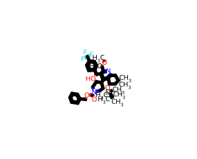 COC(C)c1nc2c(c(C3CCN(C(=O)OCc4ccccc4)CC3)c1C(O)c1ccc(C(F)(F)F)cc1)[C@@H](O[Si](C)(C)C(C)(C)C)CC(C)(C)C2